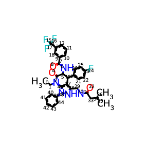 CCN1C(=O)C(NC(=O)c2cccc(C(F)(F)F)c2)C(c2ccc(F)cc2)c2c(CNC(=O)CC(C)C)nn(-c3ccccc3)c21